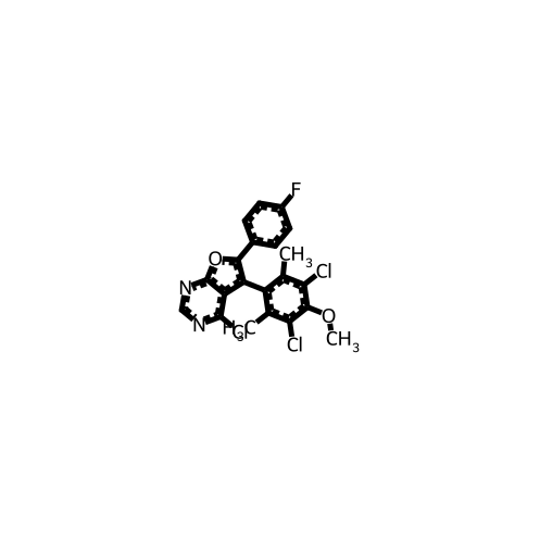 COc1c(Cl)c(C)c(-c2c(-c3ccc(F)cc3)oc3ncnc(Cl)c23)c(C)c1Cl